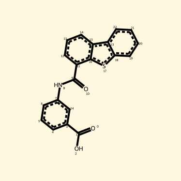 O=C(O)c1cccc(NC(=O)c2cccc3c2sc2ccccc23)c1